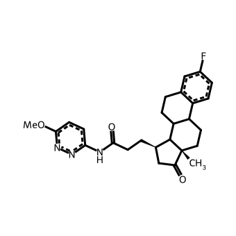 COc1ccc(NC(=O)CC[C@@H]2CC(=O)[C@@]3(C)CCC4c5ccc(F)cc5CCC4C23)nn1